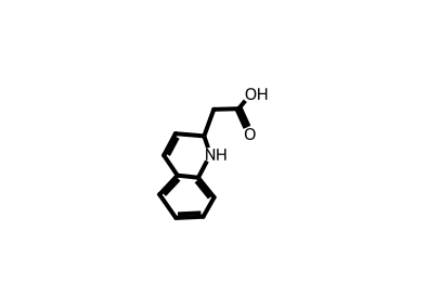 O=C(O)CC1C=Cc2ccccc2N1